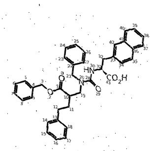 O=C(OCc1ccccc1)C(CCc1ccccc1)CN(Cc1ccccc1)C(=O)N[C@@H](Cc1ccc2ccccc2c1)C(=O)O